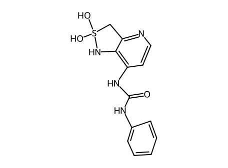 O=C(Nc1ccccc1)Nc1ccnc2c1NS(O)(O)C2